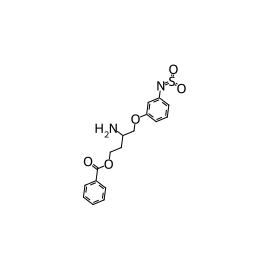 NC(CCOC(=O)c1ccccc1)COc1cccc(N=S(=O)=O)c1